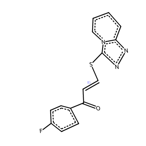 O=C(/C=C/Sc1nnc2ccccn12)c1ccc(F)cc1